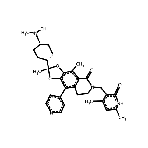 Cc1cc(C)c(CN2CCc3c(c(C)c4c(c3-c3ccncc3)O[C@](C)([C@H]3CC[C@H](N(C)C)CC3)O4)C2=O)c(=O)[nH]1